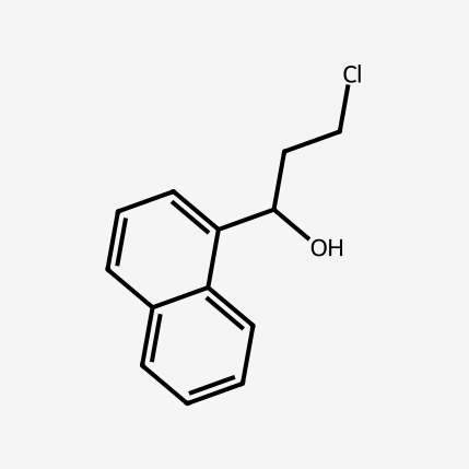 OC(CCCl)c1cccc2ccccc12